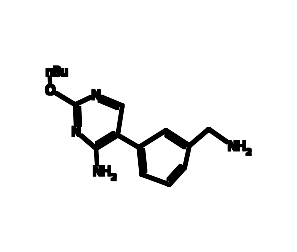 CCCCOc1ncc(-c2cccc(CN)c2)c(N)n1